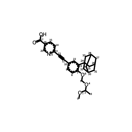 COC(C)OCOc1ccc(C#Cc2ccc(C(=O)O)cn2)cc1C12CC3CC(CC(C3)C1)C2